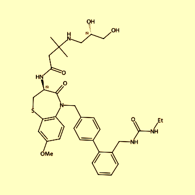 CCNC(=O)NCc1ccccc1-c1ccc(CN2C(=O)[C@H](NC(=O)CC(C)(C)NC[C@H](O)CO)CSc3cc(OC)ccc32)cc1